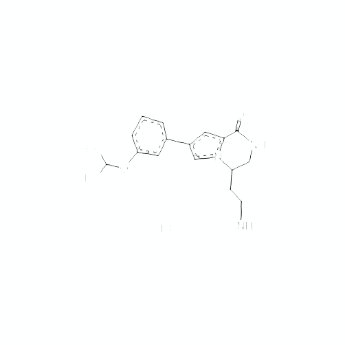 CC(C)Oc1cccc(-c2cc3n(c2)C(CCN)CNC3=O)c1.Cl